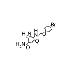 COc1cc(C(N)=O)cc(N)c1NCCOc1ccc(Br)cc1